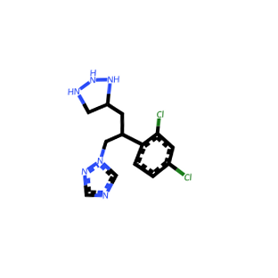 Clc1ccc(C(CC2CNNN2)Cn2cncn2)c(Cl)c1